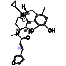 Cc1cc(O)c2c3c1C[C@@H]1[C@@H]4CC[C@H](N(C)C(=O)/C=C/c5ccoc5)[C@H](O2)[C@]34CCN1C1CC1